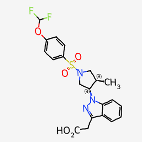 C[C@@H]1CN(S(=O)(=O)c2ccc(OC(F)F)cc2)C[C@@H]1n1nc(CC(=O)O)c2ccccc21